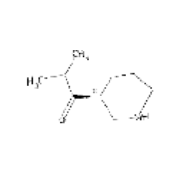 CC(C)C(=O)[C@H]1CCCNC1